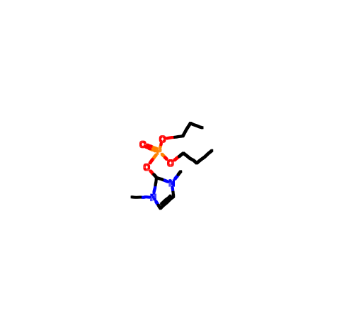 CCCOP(=O)(OCCC)OC1N(C)C=CN1C